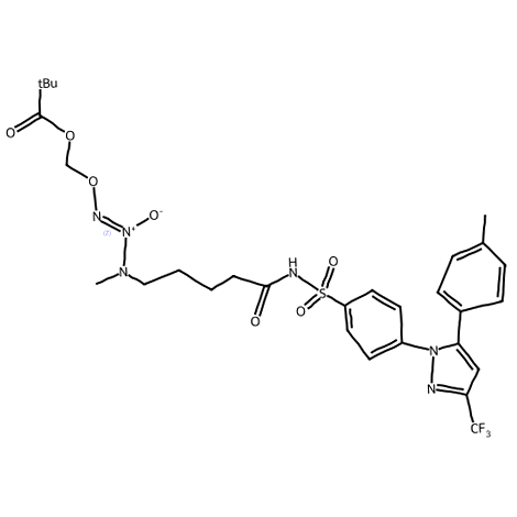 Cc1ccc(-c2cc(C(F)(F)F)nn2-c2ccc(S(=O)(=O)NC(=O)CCCCN(C)/[N+]([O-])=N/OCOC(=O)C(C)(C)C)cc2)cc1